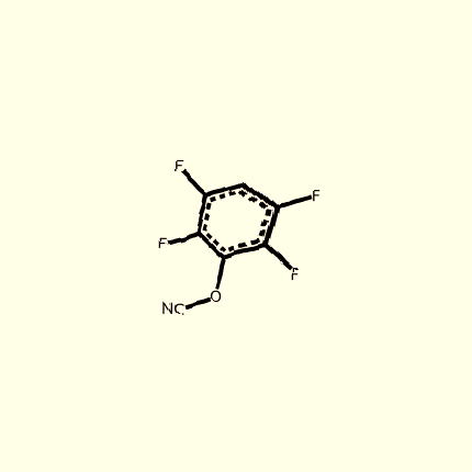 N#COc1c(F)c(F)cc(F)c1F